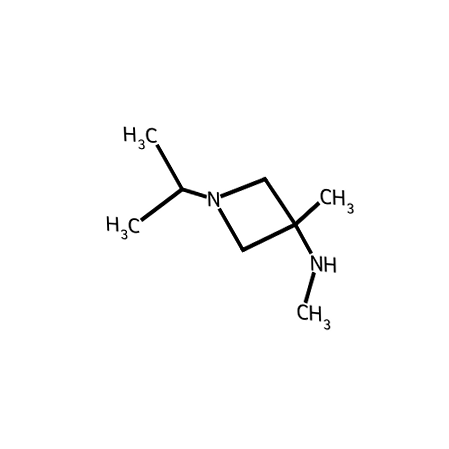 CNC1(C)CN(C(C)C)C1